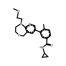 COCCN1CCOCc2cc(-c3cc(C(=O)NC4CC4)ccc3C)cnc21